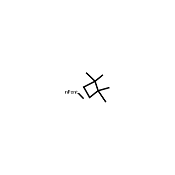 CC1(C)CCC1(C)C.CCCCCC